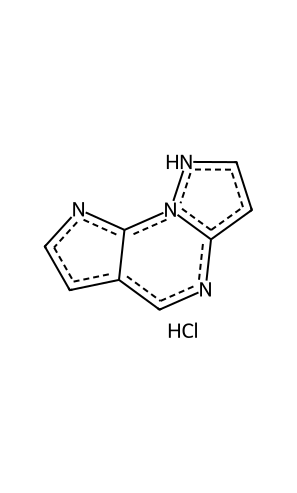 Cl.c1cc2cnc3cc[nH]n3c-2n1